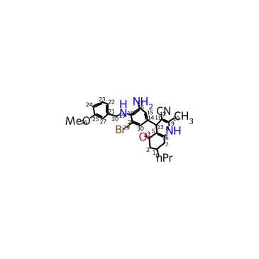 CCCC1CC(=O)C2=C(C1)NC(C)=C(C#N)C2c1cc(N)c(NCc2cccc(OC)c2)c(Br)c1